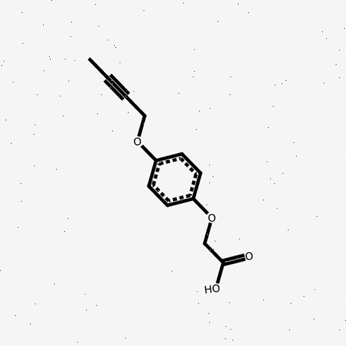 CC#CCOc1ccc(OCC(=O)O)cc1